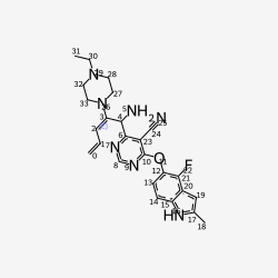 C=C/C=C(\C(N)c1ncnc(Oc2ccc3[nH]c(C)cc3c2F)c1C#N)N1CCN(CC)CC1